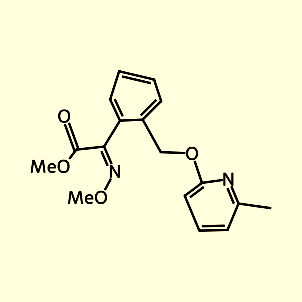 CON=C(C(=O)OC)c1ccccc1COc1cccc(C)n1